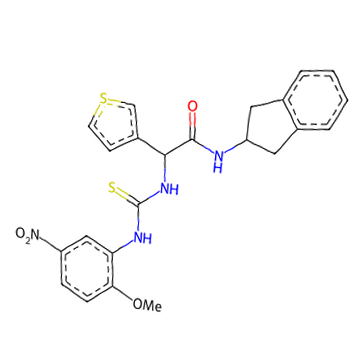 COc1ccc([N+](=O)[O-])cc1NC(=S)NC(C(=O)NC1Cc2ccccc2C1)c1ccsc1